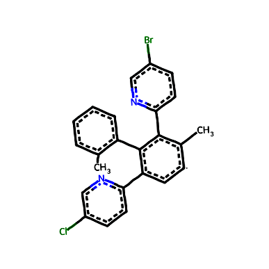 Cc1[c]cc(-c2ccc(Cl)cn2)c(-c2ccccc2C)c1-c1ccc(Br)cn1